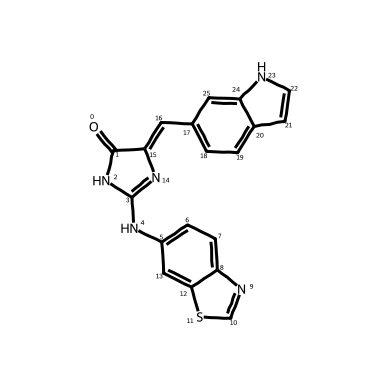 O=C1NC(Nc2ccc3ncsc3c2)=NC1=Cc1ccc2cc[nH]c2c1